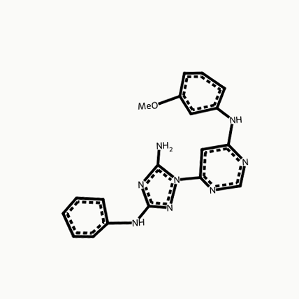 COc1cccc(Nc2cc(-n3nc(Nc4ccccc4)nc3N)ncn2)c1